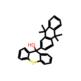 CC1(C)c2ccccc2C(C)(C)c2cc(C3(O)c4ccccc4Sc4ccccc43)ccc21